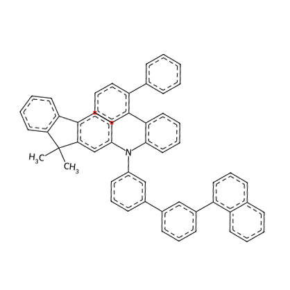 CC1(C)c2ccccc2-c2ccc(N(c3cccc(-c4cccc(-c5cccc6ccccc56)c4)c3)c3ccccc3-c3ccccc3-c3ccccc3)cc21